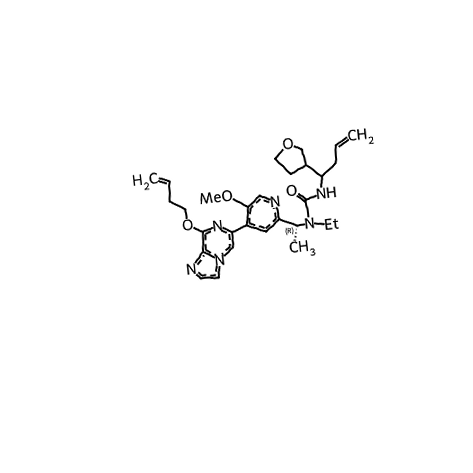 C=CCCOc1nc(-c2cc([C@@H](C)N(CC)C(=O)NC(CC=C)C3CCOC3)ncc2OC)cn2ccnc12